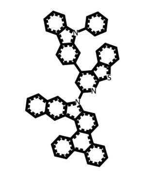 c1ccc(-n2c3ccccc3c3ccc(-c4cc(-n5c6cc7ccccc7cc6c6c7c8ccccc8c8ccccc8c7ccc65)nc5sc6ccccc6c45)cc32)cc1